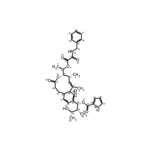 C/C1=C\[C@@H](C)[C@@H]([C@@H](C)OC(=O)C(=O)NCc2ccccc2)OC(=O)CCC2C=CC([C@H](OC(=O)c3ccc[nH]3)[C@H](C)[C@H](C)O)=C[C@]12O